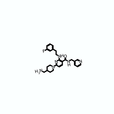 NCC1CCN(c2ccc(C(=O)NCc3cccnc3)c(NCCc3cccc(F)c3)n2)CC1